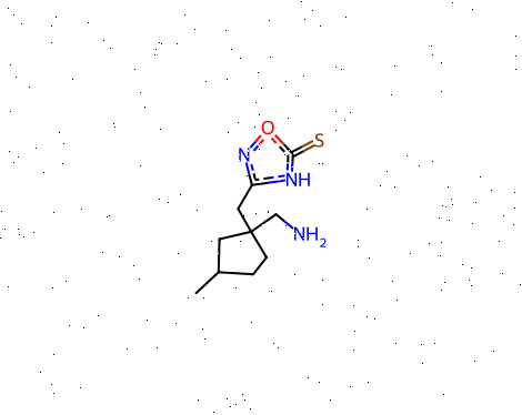 CC1CCC(CN)(Cc2noc(=S)[nH]2)C1